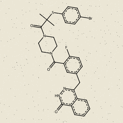 CC(C)(Sc1ccc(Br)cc1)C(=O)N1CCN(C(=O)c2cc(Cc3n[nH]c(=O)c4ccccc34)ccc2F)CC1